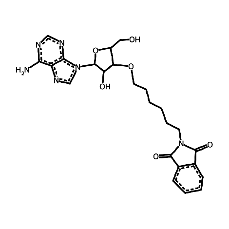 Nc1ncnc2c1ncn2C1OC(CO)C(OCCCCCCN2C(=O)c3ccccc3C2=O)C1O